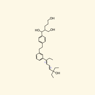 CC/C(=C\C=C\C(O)(CC)CC)c1cccc(CCc2ccc(C(O)C(CO)CCCO)cc2)c1